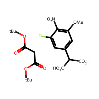 CC(C)(C)OC(=O)CC(=O)OC(C)(C)C.COc1cc(C(C(=O)O)C(=O)O)cc(F)c1[N+](=O)[O-]